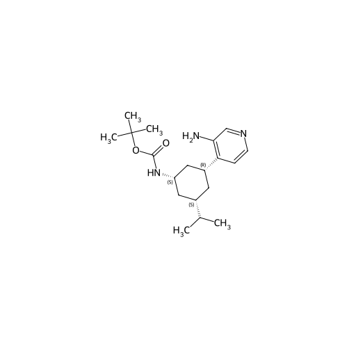 CC(C)[C@@H]1C[C@H](NC(=O)OC(C)(C)C)C[C@H](c2ccncc2N)C1